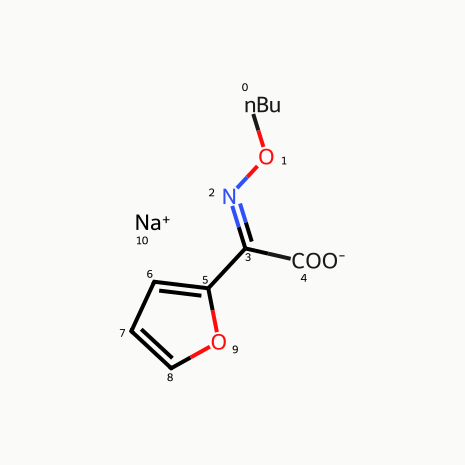 CCCCON=C(C(=O)[O-])c1ccco1.[Na+]